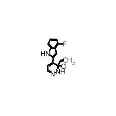 C=CC1(Cl)NN=CC=C1c1cc2c(F)cccc2[nH]1